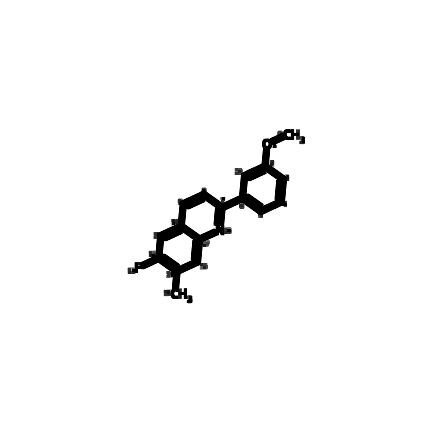 COc1cccc(-c2ccc3cc(F)c(C)cc3n2)c1